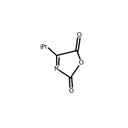 CC(C)C1=NC(=O)OC1=O